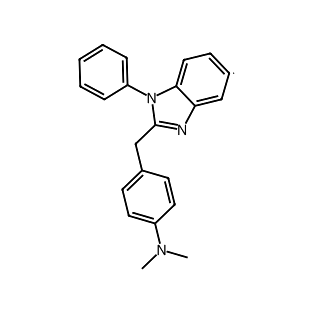 CN(C)c1ccc(Cc2nc3c[c]ccc3n2-c2ccccc2)cc1